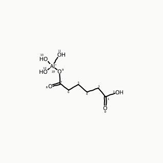 O=C(O)CCCCC(=O)[O][Al-]([OH])([OH])[OH]